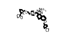 COC(=O)c1cccc(COCCN2CCN(c3nc(N)nc4c3CCc3cc(OCc5ccc(Cl)cc5)ccc3-4)CC2)n1